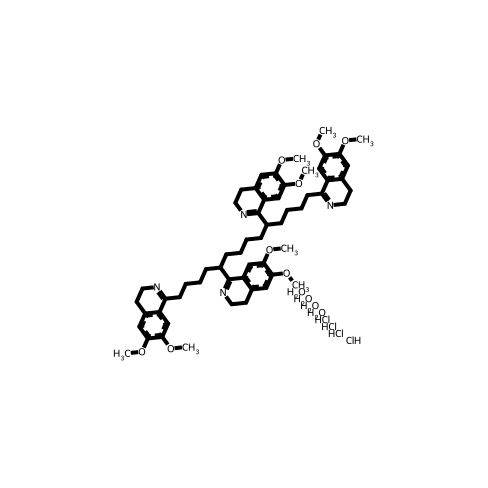 COc1cc2c(cc1OC)C(CCCCC(CCCCC(CCCCC1=NCCc3cc(OC)c(OC)cc31)C1=NCCc3cc(OC)c(OC)cc31)C1=NCCc3cc(OC)c(OC)cc31)=NCC2.Cl.Cl.Cl.Cl.O.O.O.O